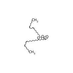 CCCCC/C=C\C/C=C\CCCCCCCC(=O)CC(CN1CCOCC1)C(=O)CCCCCCC/C=C\C/C=C\CCCCC